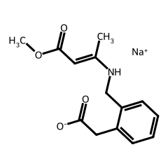 COC(=O)C=C(C)NCc1ccccc1CC(=O)[O-].[Na+]